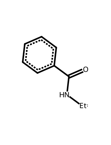 C[C]NC(=O)c1ccccc1